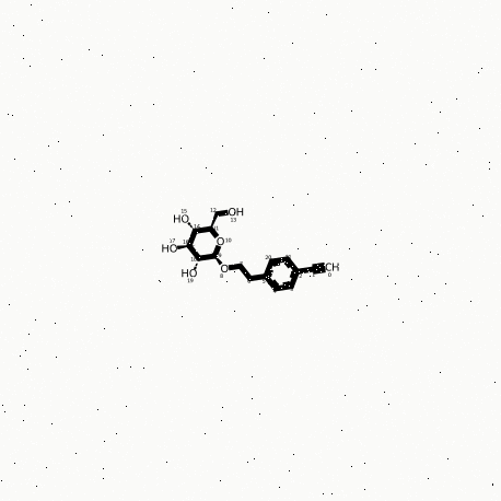 C#Cc1ccc(CCO[C@@H]2O[C@H](CO)[C@@H](O)[C@H](O)[C@H]2O)cc1